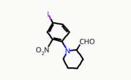 O=CC1CCCCN1c1ccc(I)cc1[N+](=O)[O-]